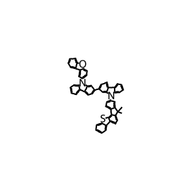 CC1(C)c2cc(-n3c4ccccc4c4ccc(-c5ccc6c7ccccc7n(-c7ccc8oc9ccccc9c8c7)c6c5)cc43)ccc2-c2c1ccc1c2sc2ccccc21